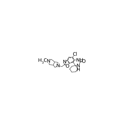 CN1CC2CN(Cc3nc4cc(Cl)c5c(c4o3)C3(CCCCC3)NC(=O)N5)CC2C1